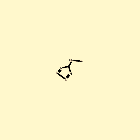 CC(=O)N[C]1N=NN=N1